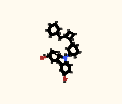 Brc1ccc2c(c1)c1cc(Br)ccc1n2-c1cccc(C2CC=C2Cc2ccccc2)c1